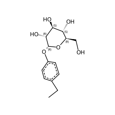 CCc1ccc(O[C@H]2O[C@H](CO)[C@@H](O)[C@H](O)[C@H]2O)cc1